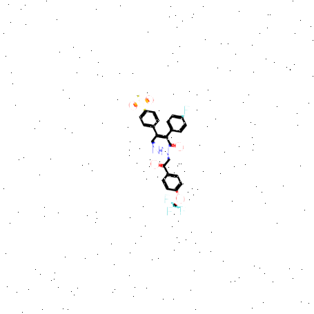 CS(=O)(=O)c1ccc(-c2cnn(CC(=O)c3ccc(OC(F)(F)F)cc3)c(=O)c2-c2ccc(F)cc2)cc1